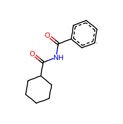 O=C(NC(=O)C1CCCCC1)c1c[c]ccc1